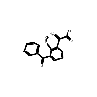 C=C(C(=O)O)c1cccc(C(=O)c2ccccc2)c1OC